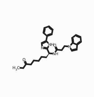 CCC(=O)CCCCC[C@H](NC(=O)CCn1ccc2ccccc21)c1ncc(-c2ccccc2)[nH]1